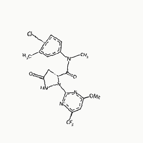 COc1cc(C(F)(F)F)nc(N2NC(=O)CC2C(=O)N(C)c2ccc(Cl)c(C)c2)n1